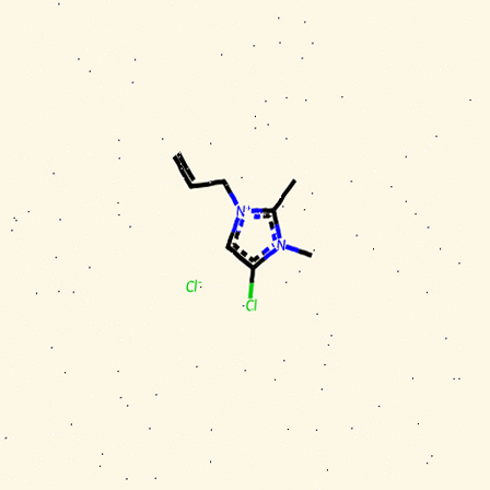 C=CC[n+]1cc(Cl)n(C)c1C.[Cl-]